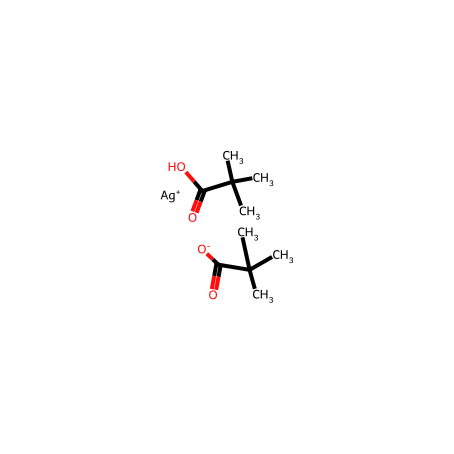 CC(C)(C)C(=O)O.CC(C)(C)C(=O)[O-].[Ag+]